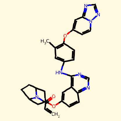 C=CC(=O)N1C2CCC1CC(Oc1ccc3ncnc(Nc4ccc(Oc5ccn6ncnc6c5)c(C)c4)c3c1)C2